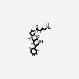 CNC/C=C/C(=O)N1CC[C@@H](Nc2cc(-c3ccncc3)c[nH]c2=O)C1